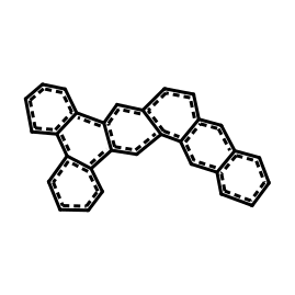 c1ccc2cc3c(ccc4cc5c6ccccc6c6ccccc6c5cc43)cc2c1